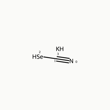 N#C[SeH].[KH]